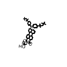 CC(C)(C)CC(C)(C)c1ccc(N(c2ccc(C(C)(C)CC(C)(C)C)cc2)c2ccc3c4ccc5c6c(ccc(c7cccc2c73)c64)C(=O)N(CC(=O)O)C5=O)cc1